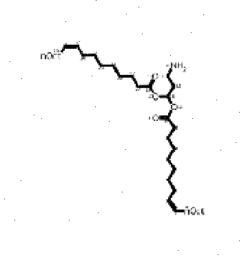 CCCCCCCC/C=C\CCCCCCCC(=O)OC(CCN)OC(=O)CCCCCCC/C=C\CCCCCCCC